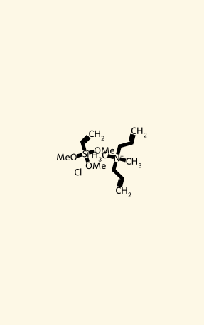 C=CC[N+](C)(C)CC=C.C=C[Si](OC)(OC)OC.[Cl-]